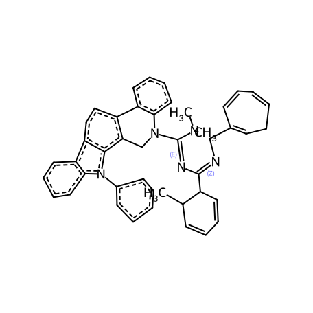 CC1C=CC=CC1C(=N/CC1=CCC=CC=C1)/N=C(\N(C)C)N1Cc2c(ccc3c4ccccc4n(-c4ccccc4)c23)-c2ccccc21